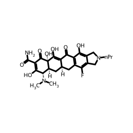 CCCN1Cc2c(O)c3c(c(F)c2C1)C[C@H]1C[C@H]2[C@H](N(C)C)C(O)=C(C(N)=O)C(=O)[C@@]2(O)C(O)=C1C3=O